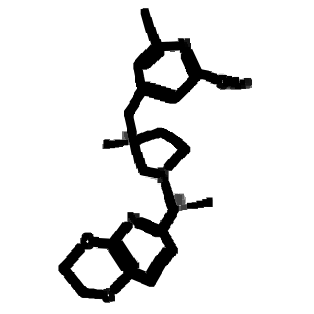 COc1cc(C[C@@]2(C)CCN([C@H](C)c3ccc4c(n3)OCCO4)C2)cc(C)n1